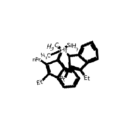 CCCC1=C(CC)c2ccccc2[CH]1[Hf]([CH3])([CH3])([SiH3])[CH]1C(CCC)=C(CC)c2ccccc21